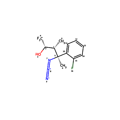 C[C@@H]([C@H](O)C(F)(F)F)[C@](C)(N=[N+]=[N-])c1ccccc1F